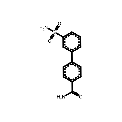 NC(=O)c1ccc(-c2[c]ccc(S(N)(=O)=O)c2)cc1